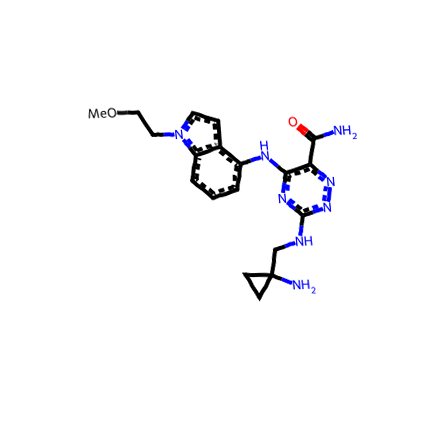 COCCn1ccc2c(Nc3nc(NCC4(N)CC4)nnc3C(N)=O)cccc21